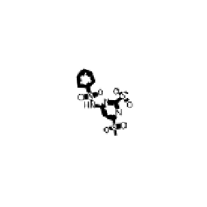 CS(=O)(=O)c1cc(NS(=O)(=O)c2ccccc2)nc(S(C)(=O)=O)n1